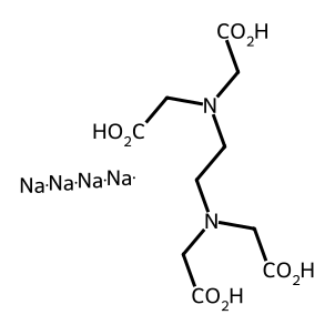 O=C(O)CN(CCN(CC(=O)O)CC(=O)O)CC(=O)O.[Na].[Na].[Na].[Na]